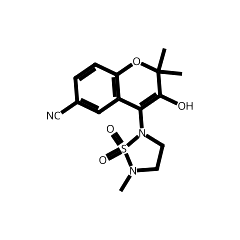 CN1CCN(C2=C(O)C(C)(C)Oc3ccc(C#N)cc32)S1(=O)=O